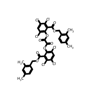 Cc1ccc(COC(=O)c2c(Cl)c(Cl)cc(Cl)c2OC(=O)C(=O)Oc2c(Cl)cc(Cl)c(Cl)c2C(=O)OCc2ccc(C)cc2C)c(C)c1